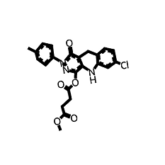 COC(=O)CCC(=O)Oc1nn(-c2ccc(C)cc2)c(=O)c2c1Nc1cc(Cl)ccc1C2